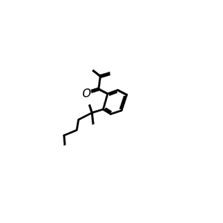 C=C(C)C(=O)c1ccccc1C(C)(C)CCCC